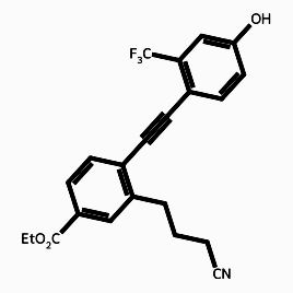 CCOC(=O)c1ccc(C#Cc2ccc(O)cc2C(F)(F)F)c(CCCC#N)c1